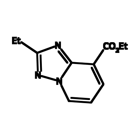 CCOC(=O)c1cccn2nc(CC)nc12